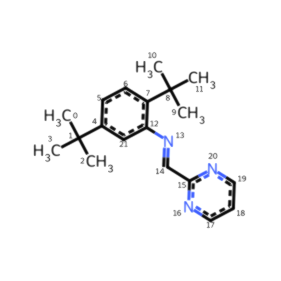 CC(C)(C)c1ccc(C(C)(C)C)c(N=Cc2ncccn2)c1